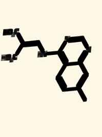 Cc1ccc2c(NC=C(C(=O)O)C(=O)O)ncnc2c1